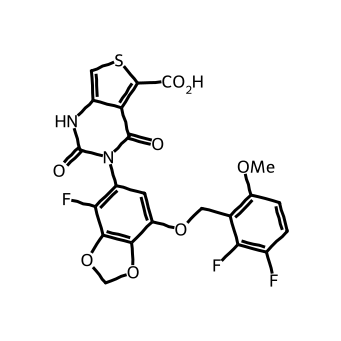 COc1ccc(F)c(F)c1COc1cc(-n2c(=O)[nH]c3csc(C(=O)O)c3c2=O)c(F)c2c1OCO2